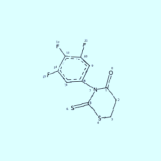 O=C1CCSC(=S)N1c1cc(F)c(F)c(F)c1